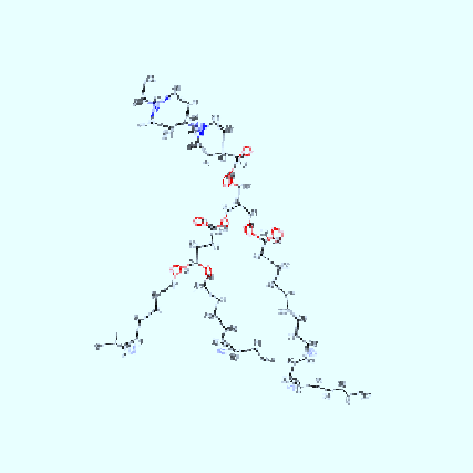 CC/C=C\CCCCOC(CCC(=O)OCC(COC(=O)CCCCCCC/C=C\C/C=C\CCCCC)COC(=O)C1CCN(C2CCN(CC)CC2)CC1)OCCCC/C=C\CC